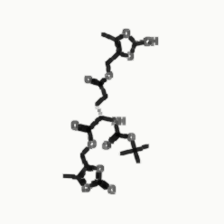 CC1=C(COC(=O)CC[C@H](NC(=O)OC(C)(C)C)C(=O)OCc2oc(=O)oc2C)OC(O)O1